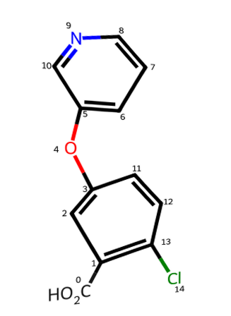 O=C(O)c1cc(Oc2cccnc2)ccc1Cl